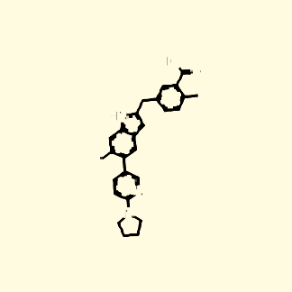 Cc1ccc(Cc2cc3cc(-c4ccc(N5CCCC5)nc4)c(Cl)cc3[nH]2)cc1C(=O)O